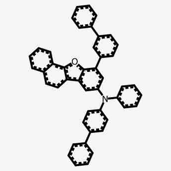 c1ccc(-c2ccc(N(c3ccccc3)c3cc(-c4cccc(-c5ccccc5)c4)c4oc5c6ccccc6ccc5c4c3)cc2)cc1